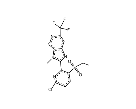 CCS(=O)(=O)c1ccc(Cl)nc1-c1nc2cc(C(F)(F)F)nnc2n1C